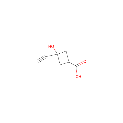 C#CC1(O)CC(C(=O)O)C1